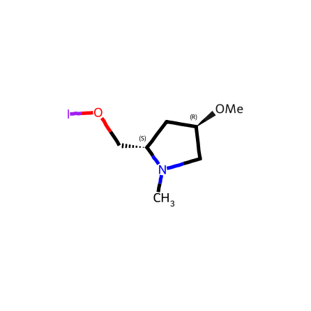 CO[C@@H]1C[C@@H](COI)N(C)C1